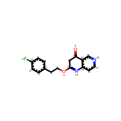 O=C1CC(OCCc2ccc(F)cc2)=Nc2ccncc21